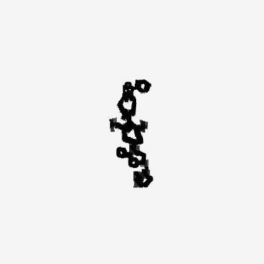 O=C(c1ccccn1)N1CCN(c2c(F)cc(N3C[C@H](Cn4ccnn4)OC3=O)cc2F)CCN1